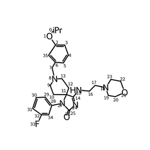 CC(C)Oc1cccc(CN2CCC3(CC2)C(NCCN2CCOCC2)=NC(=O)N3c2cccc(F)c2)c1